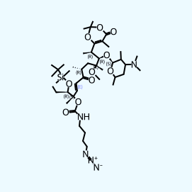 CC[C@@H](O[Si](C)(C)C(C)(C)C)[C@](C)(/C=C/C(=O)[C@H](C)C[C@@](C)(OC)[C@H](O[C@@H]1OC(C)CC(N(C)C)C1C)[C@@H](C)C1=C(C)C(=O)OC(C)(C)O1)OC(=O)NCCCCN=[N+]=[N-]